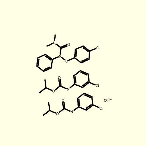 CC(C)OC(=O)[N-]c1cccc(Cl)c1.CC(C)OC(=O)[N-]c1cccc(Cl)c1.CN(C)C(=O)N(Oc1ccc(Cl)cc1)c1ccccc1.[Cu+2]